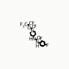 O=C(Nc1ccc(F)cc1F)NC1CCN(C(=O)OC(C(F)(F)F)C(F)(F)F)CC1